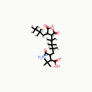 CC(C)(C)C(C(=O)O)C(CC(C)(C)C(C)(C)C(C)(C)C1C(=O)OC(=O)C1CC(C)(C)C(C)(C)C)C(N)=O